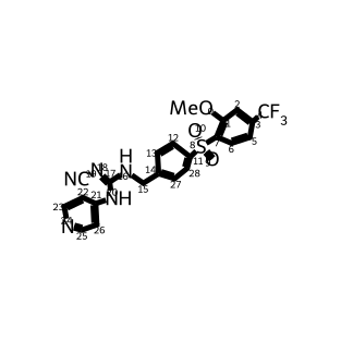 COc1cc(C(F)(F)F)ccc1S(=O)(=O)c1ccc(CNC(=NC#N)Nc2ccncc2)cc1